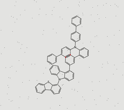 c1ccc(-c2ccc(N(c3ccc(-c4ccccc4)cc3)c3ccccc3-c3cccc(-c4cccc5c4c4ccccc4n5-c4cccc5c4sc4ccccc45)c3)cc2)cc1